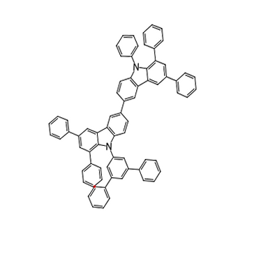 c1ccc(-c2cc(-c3ccccc3)cc(-n3c4ccc(-c5ccc6c(c5)c5cc(-c7ccccc7)cc(-c7ccccc7)c5n6-c5ccccc5)cc4c4cc(-c5ccccc5)cc(-c5ccccc5)c43)c2)cc1